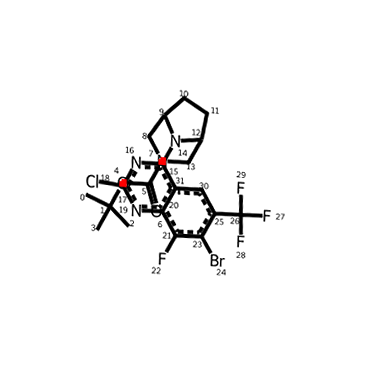 CC(C)(C)OC(=O)N1CC2CCC(C1)N2c1nc(Cl)nc2c(F)c(Br)c(C(F)(F)F)cc12